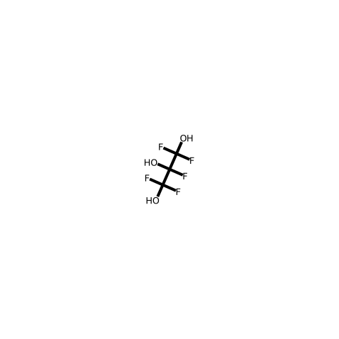 OC(F)(F)C(O)(F)C(O)(F)F